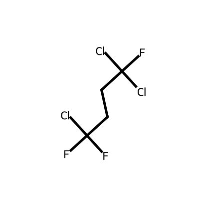 FC(F)(Cl)CCC(F)(Cl)Cl